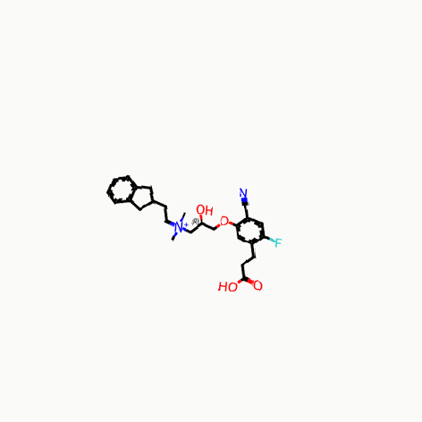 C[N+](C)(CCC1Cc2ccccc2C1)C[C@@H](O)COc1cc(CCC(=O)O)c(F)cc1C#N